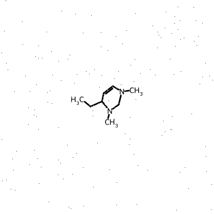 CCC1C=CN(C)CN1C